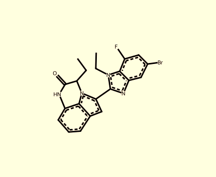 CCC1C(=O)Nc2cccc3cc(-c4nc5cc(Br)cc(F)c5n4CC)n1c23